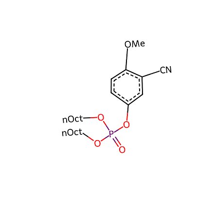 CCCCCCCCOP(=O)(OCCCCCCCC)Oc1ccc(OC)c(C#N)c1